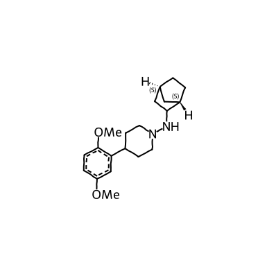 COc1ccc(OC)c(C2CCN(NC3C[C@H]4CC[C@H]3C4)CC2)c1